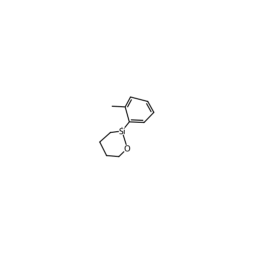 Cc1ccccc1[Si]1CCCCO1